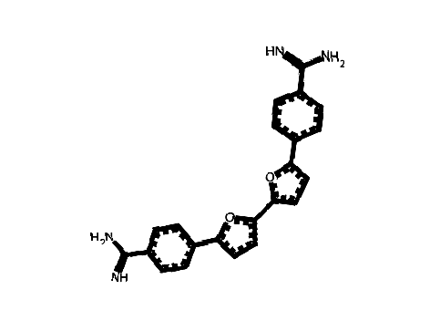 N=C(N)c1ccc(-c2ccc(-c3ccc(-c4ccc(C(=N)N)cc4)o3)o2)cc1